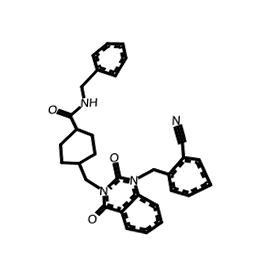 N#Cc1ccccc1Cn1c(=O)n(CC2CCC(C(=O)NCc3ccccc3)CC2)c(=O)c2ccccc21